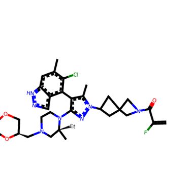 C=C(F)C(=O)N1CC2(CC(n3nc(N4CCN(C[C@@H]5COCCO5)C[C@]4(C)CC)c(-c4c(Cl)c(C)cc5[nH]ncc45)c3C)C2)C1